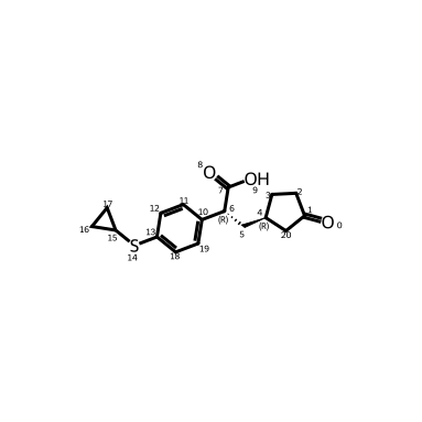 O=C1CC[C@H](C[C@@H](C(=O)O)c2ccc(SC3CC3)cc2)C1